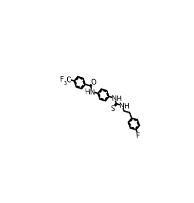 O=C(Nc1ccc(NC(=S)NCCc2ccc(F)cc2)cc1)c1ccc(C(F)(F)F)cc1